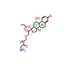 CCC(=O)O[C@]1(C(=O)COCNC(=O)CN)[C@@H](C)C[C@H]2[C@@H]3CCC4=CC(=O)C=C[C@]4(C)[C@@]3(Cl)[C@@H](O)C[C@@]21C